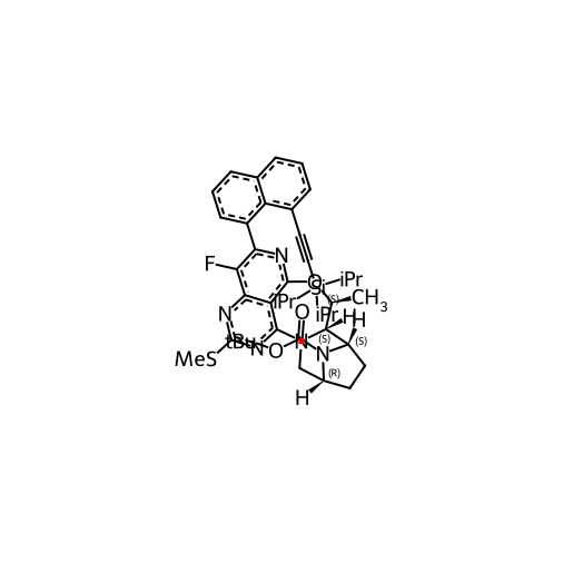 CSc1nc2c3c(nc(-c4cccc5cccc(C#C[Si](C(C)C)(C(C)C)C(C)C)c45)c(F)c3n1)O[C@@H](C)[C@@H]1[C@@H]3CC[C@H](CN21)N3C(=O)OC(C)(C)C